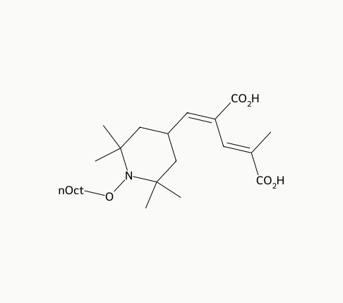 CCCCCCCCON1C(C)(C)CC(C=C(C=C(C)C(=O)O)C(=O)O)CC1(C)C